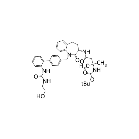 CC(C)(CC(=O)N[C@@H]1CCc2ccccc2N(Cc2ccc(-c3ccccc3NC(=O)NCCO)cc2)C1=O)NC(=O)OC(C)(C)C